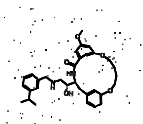 COc1cc2cc(c1)C(=O)N[C@H]([C@H](O)CNCc1cccc(C(C)C)c1)Cc1cccc(c1)OCCCCO2